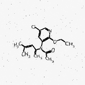 C=C(C=C(C)C)N(C(C)=O)c1cc(Cl)cnc1OCC